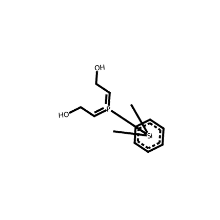 C[Si](C)(c1ccccc1)/P(=C/CO)=C/CO